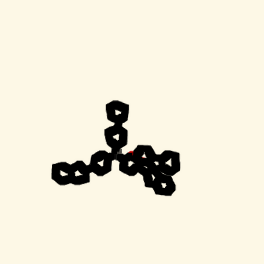 C1=C(c2ccc(N(c3ccc(-c4ccccc4)cc3)c3ccc(-c4ccc5ccccc5c4)cc3)cc2)C2(c3ccccc31)c1ccccc1-c1ccccc12